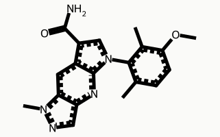 COc1ccc(C)c(-n2cc(C(N)=O)c3cc4c(cnn4C)nc32)c1C